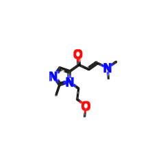 COCCn1c(C(=O)C=CN(C)C)cnc1C